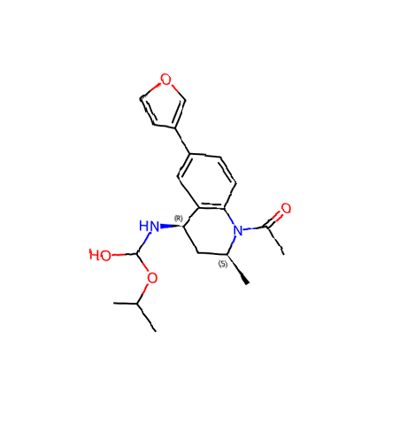 CC(=O)N1c2ccc(-c3ccoc3)cc2[C@H](NC(O)OC(C)C)C[C@@H]1C